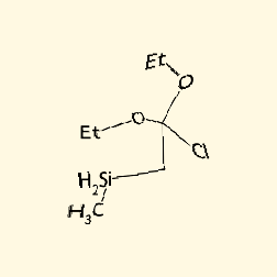 CCOC(Cl)(C[SiH2]C)OCC